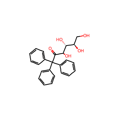 O=C([C@H](O)[C@H](O)[C@H](O)CO)C(c1ccccc1)(c1ccccc1)c1ccccc1